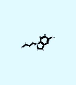 CCCCN1CCc2cc(I)ccc21